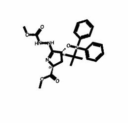 COC(=O)NNC1=N[C@H](C(=O)OC)C[C@H]1O[Si](c1ccccc1)(c1ccccc1)C(C)(C)C